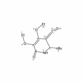 CCCCC1NC(=O)C(OCC)=C(OCC)C1=C=O